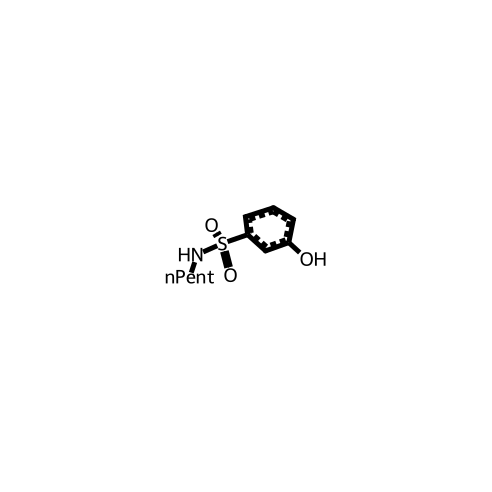 CCCCCNS(=O)(=O)c1cccc(O)c1